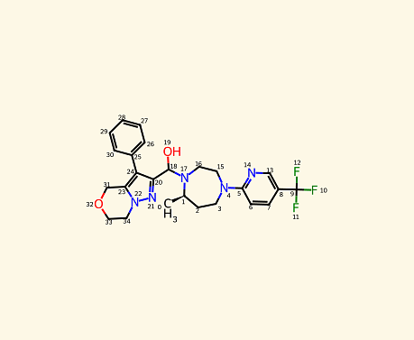 C[C@@H]1CCN(c2ccc(C(F)(F)F)cn2)CCN1C(O)c1nn2c(c1-c1ccccc1)COCC2